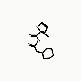 Cc1ccsc1C(=O)OC(=O)CC1CCCCC1